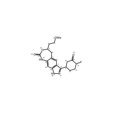 COCCC1Cc2cc3c(C4CCN(C)C(=O)C4)n[nH]c3cc2NC(=O)O1